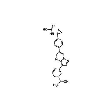 CC(O)c1cccc(-c2cnn3cc(-c4ccc(C5(NC(=O)O)CC5)cc4)cnc23)c1